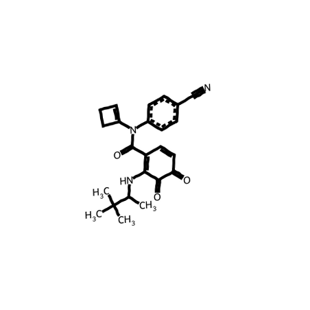 CC(NC1=C(C(=O)N(C2=CCC2)c2ccc(C#N)cc2)C=CC(=O)C1=O)C(C)(C)C